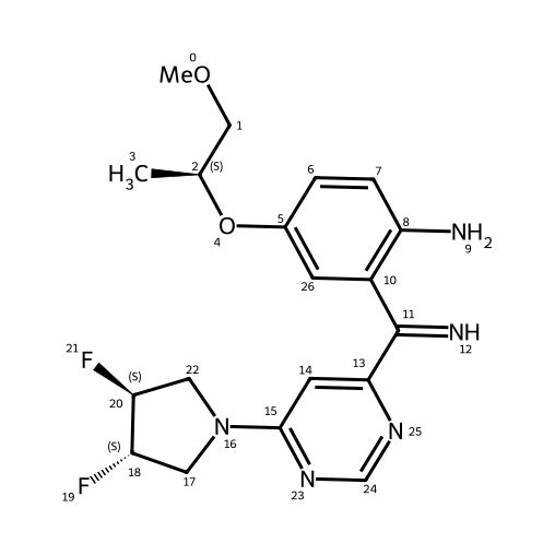 COC[C@H](C)Oc1ccc(N)c(C(=N)c2cc(N3C[C@H](F)[C@@H](F)C3)ncn2)c1